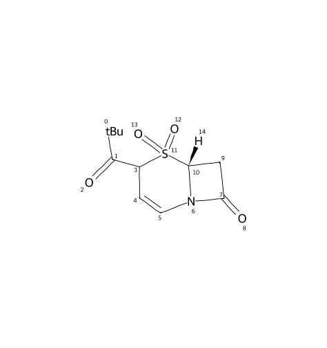 CC(C)(C)C(=O)C1C=CN2C(=O)C[C@H]2S1(=O)=O